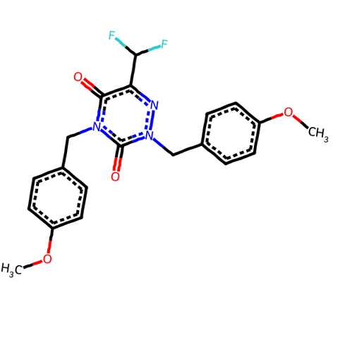 COc1ccc(Cn2nc(C(F)F)c(=O)n(Cc3ccc(OC)cc3)c2=O)cc1